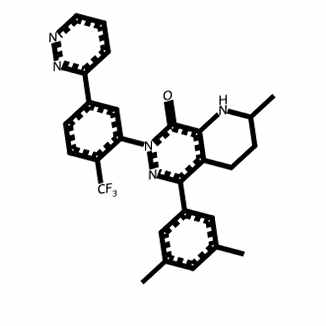 Cc1cc(C)cc(-c2nn(-c3cc(-c4cccnn4)ccc3C(F)(F)F)c(=O)c3c2CCC(C)N3)c1